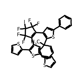 CC1(c2sc(-c3ccccc3)cc2C2=C(c3cc(-c4cccs4)sc3-c3cccs3)C(F)(F)C(F)(I)C2(F)F)C=CC=CC1